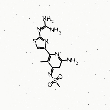 CC1=C(c2csc(N=C(N)N)n2)N=C(N)CC1=NS(C)(=O)=O